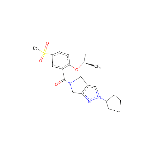 CCS(=O)(=O)c1ccc(O[C@@H](C)C(F)(F)F)c(C(=O)N2Cc3cn(C4CCCC4)nc3C2)c1